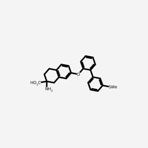 CSc1cccc(-c2ccccc2Oc2ccc3c(c2)CC(N)(C(=O)O)CC3)c1